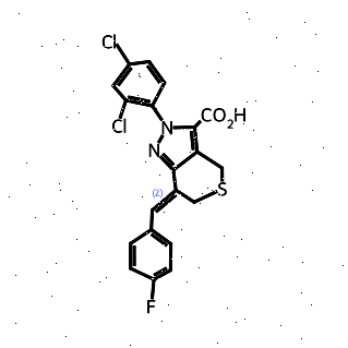 O=C(O)c1c2c(nn1-c1ccc(Cl)cc1Cl)/C(=C/c1ccc(F)cc1)CSC2